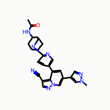 CC(=O)NC1CC2CCC1CN2c1ccc(-c2cc(-c3cnn(C)c3)cn3ncc(C#N)c23)cn1